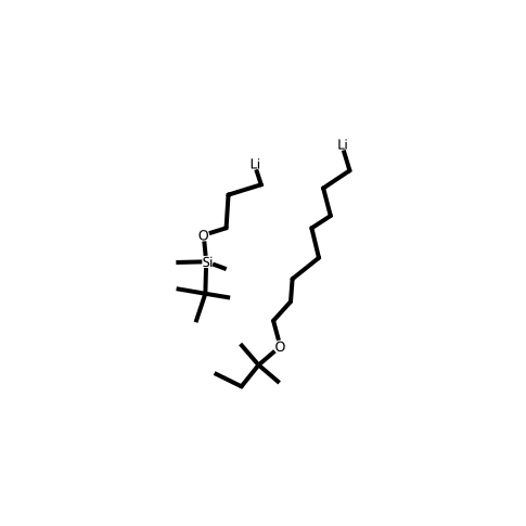 [Li][CH2]CCCCCCCOC(C)(C)CC.[Li][CH2]CCO[Si](C)(C)C(C)(C)C